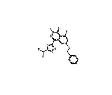 Cn1nc(-c2nnc(C(F)F)s2)c2cc(SCc3ccccc3)cc(F)c2c1=O